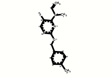 C=CN(C)c1nc(OCc2ccc(C)cc2)ncc1F